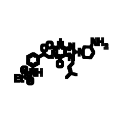 CCS(=O)(=O)Nc1cccc(C(=O)Cn2c(=O)c3c(nc(N4CCCC(N)C4)n3CC=C(C)C)n(C)c2=O)c1